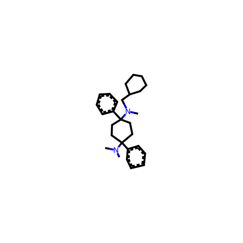 CN(C)C1(c2ccccc2)CCC(c2ccccc2)(N(C)CC2CCCCC2)CC1